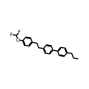 CCCc1ccc(-c2ccc(CCc3ccc(OC(F)F)cc3)cc2)cc1